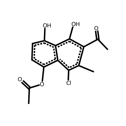 CC(=O)Oc1ccc(O)c2c(O)c(C(C)=O)c(C)c(Cl)c12